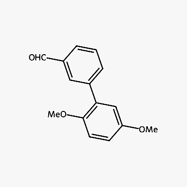 COc1ccc(OC)c(-c2cccc(C=O)c2)c1